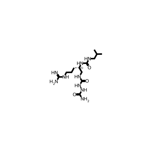 CC(C)CNC(=O)N[C@@H](CCCNC(=N)N)CNC(=O)NNC(N)=O